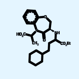 CCOC(=O)C(CCC1CCCCC1)N[C@H]1COc2ccccc2N(C(C)C(=O)O)C1=O